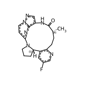 C[C@@H]1CCc2ncc(F)cc2[C@@H]2CCCN2c2ccn3ncc(c3n2)NC1=O